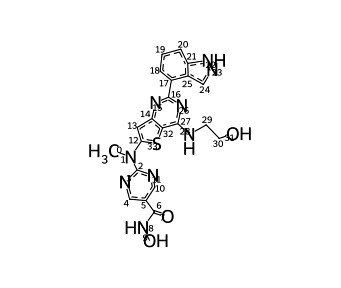 CN(c1ncc(C(=O)NO)cn1)c1cc2nc(-c3cccc4[nH]ncc34)nc(NCCO)c2s1